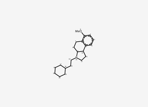 COc1cccc2c1CCC1C2CCN1CCC1CCCCC1